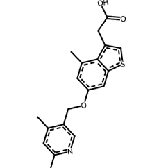 Cc1cc(C)c(COc2cc(C)c3c(CC(=O)O)csc3c2)cn1